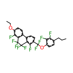 CCCc1ccc(OC(F)(F)c2ccc3c(c2F)C(F)(F)C(F)(F)c2c-3ccc(OCC)c2F)c(F)c1F